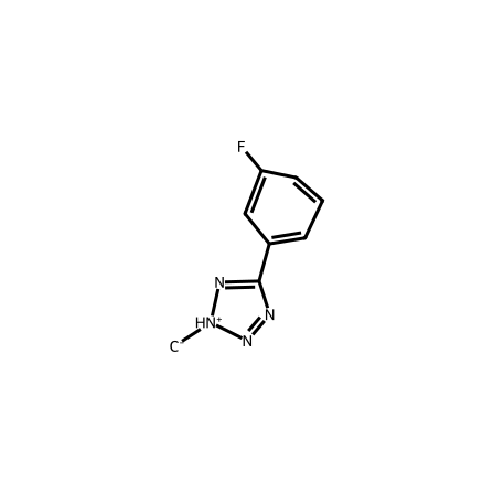 [CH2-][NH+]1N=NC(c2cccc(F)c2)=N1